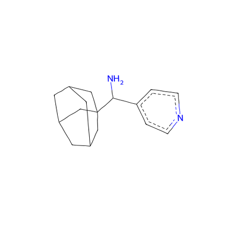 NC(c1ccncc1)C12CC3CC(CC(C3)C1)C2